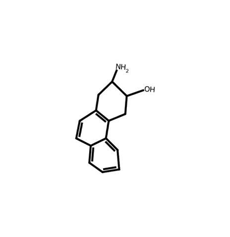 NC1Cc2ccc3ccccc3c2CC1O